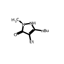 CCCCc1[nH]n(C)c(=O)c1CC